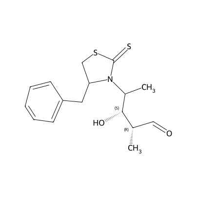 CC([C@@H](O)[C@@H](C)C=O)N1C(=S)SCC1Cc1ccccc1